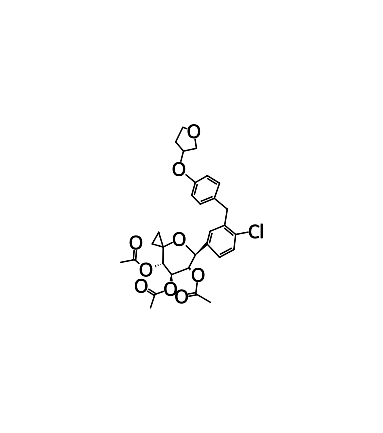 CC(=O)O[C@@H]1[C@@H](OC(C)=O)[C@H](OC(C)=O)C2(CC2)O[C@H]1c1ccc(Cl)c(Cc2ccc(OC3CCOC3)cc2)c1